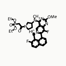 C#Cc1c(F)ccc2cccc(-c3ncc4c(N(C)C5CCN(C(=O)CP(=O)(OCC)OCC)C5)nc(OC)nc4c3F)c12